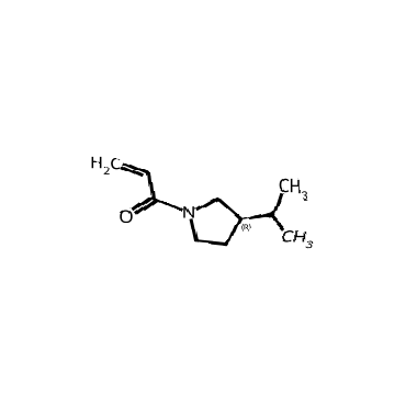 C=CC(=O)N1CC[C@H](C(C)C)C1